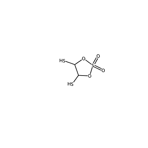 O=S1(=O)OC(S)C(S)O1